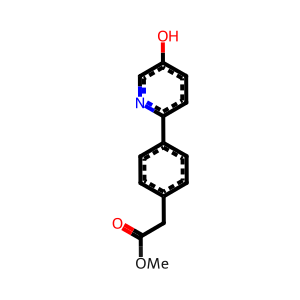 COC(=O)Cc1ccc(-c2ccc(O)cn2)cc1